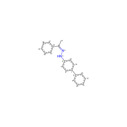 CC(=NNc1ccc(-c2ccccc2)cc1)c1ccccc1